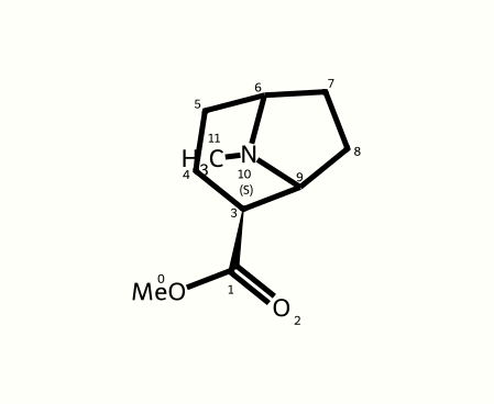 COC(=O)[C@H]1CCC2CCC1N2C